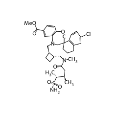 COC(=O)c1ccc2c(c1)N(C[C@@H]1CC[C@H]1CN(C)C(=O)C[C@@H](C)[C@@H](C)S(N)(=O)=O)CC1(CCCc3cc(Cl)ccc31)CO2